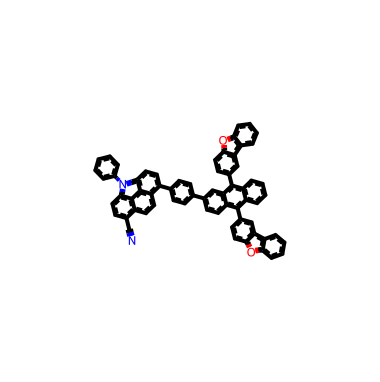 N#Cc1ccc2c3c1ccc1c(-c4ccc(-c5ccc6c(-c7ccc8oc9ccccc9c8c7)c7ccccc7c(-c7ccc8oc9ccccc9c8c7)c6c5)cc4)ccc(c13)n2-c1ccccc1